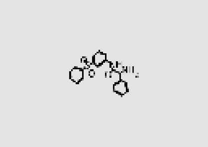 NC(C(=O)Nc1cccc(S(=O)(=O)c2ccccc2)c1)c1ccccc1